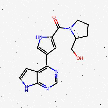 O=C(c1cc(-c2ncnc3[nH]ccc23)c[nH]1)N1CCCC1CO